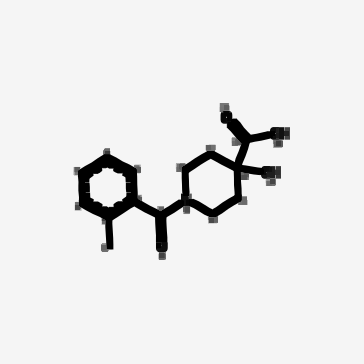 Cc1ccccc1C(=O)N1CCC(O)(C(=O)O)CC1